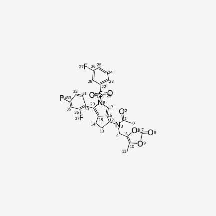 CC(=O)N(Cc1oc(=O)oc1C)C1CCc2c1cn(S(=O)(=O)c1cccc(F)c1)c2-c1ccc(F)cc1F